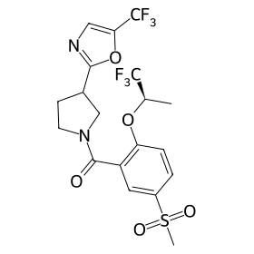 C[C@@H](Oc1ccc(S(C)(=O)=O)cc1C(=O)N1CCC(c2ncc(C(F)(F)F)o2)C1)C(F)(F)F